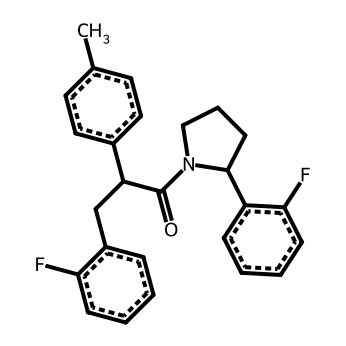 Cc1ccc(C(Cc2ccccc2F)C(=O)N2CCCC2c2ccccc2F)cc1